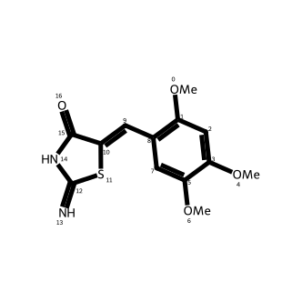 COc1cc(OC)c(OC)cc1C=C1SC(=N)NC1=O